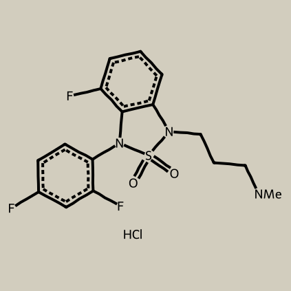 CNCCCN1c2cccc(F)c2N(c2ccc(F)cc2F)S1(=O)=O.Cl